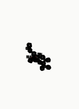 CC1(C)c2ccccc2-c2cc3c4ccccc4n(-c4c(-n5c6ccccc6c6cc(-c7ccc8oc9ccccc9c8c7)ccc65)nnc5ccc(N(c6ccccc6)c6ccc7c8ccccc8n(-c8ccccc8)c7c6)cc45)c3cc21